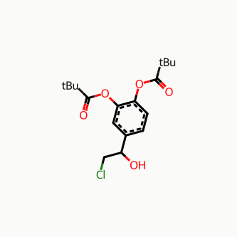 CC(C)(C)C(=O)Oc1ccc(C(O)CCl)cc1OC(=O)C(C)(C)C